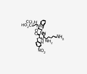 NCCCC[C@@H](N)C(=O)N[C@@H](Cc1ccc([N+](=O)[O-])cc1)C(=O)N[C@@H](Cc1ccccc1)C(=O)N[C@@H](CC(=O)O)C(=O)O